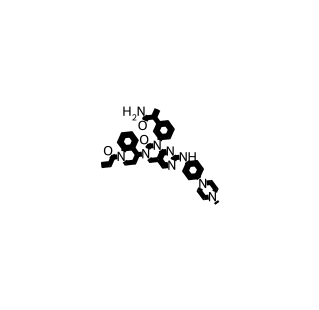 C=CC(=O)N1CCC(N2Cc3cnc(Nc4ccc(N5CCN(C)CC5)cc4)nc3N(c3cccc(C(=C)C(N)=O)c3)C2=O)c2ccccc21